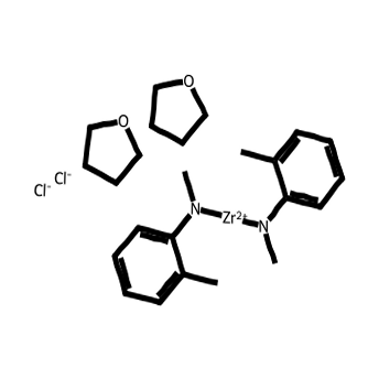 C1CCOC1.C1CCOC1.Cc1ccccc1[N](C)[Zr+2][N](C)c1ccccc1C.[Cl-].[Cl-]